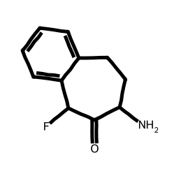 NC1CCc2ccccc2C(F)C1=O